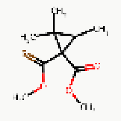 COC(=O)C1(C(=S)OC)C(C)C1(C)C